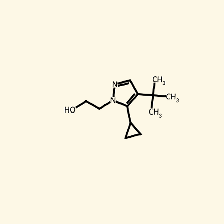 CC(C)(C)c1cnn(CCO)c1C1CC1